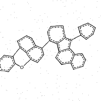 c1ccc(-n2c3cccc(-c4ccc5c6c(cccc46)-c4ccccc4O5)c3c3ccc4ccccc4c32)cc1